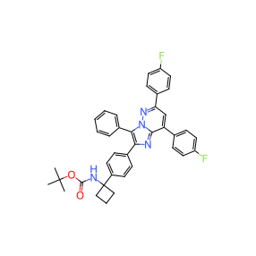 CC(C)(C)OC(=O)NC1(c2ccc(-c3nc4c(-c5ccc(F)cc5)cc(-c5ccc(F)cc5)nn4c3-c3ccccc3)cc2)CCC1